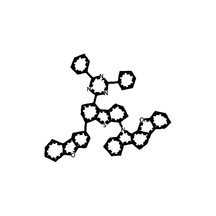 c1ccc(-c2nc(-c3ccccc3)nc(-c3ccc(-c4ccc5oc6ccccc6c5c4)c4sc5c(-n6c7ccccc7c7ccc8c9ccccc9oc8c76)cccc5c34)n2)cc1